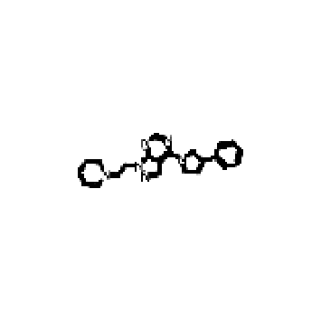 c1ccc(C2CCN(c3ncnc4c3cnn4CCN3CCCCC3)C2)cc1